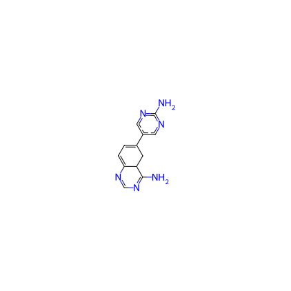 NC1=NC=NC2=CC=C(c3cnc(N)nc3)CC21